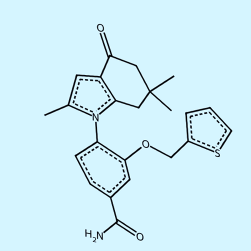 Cc1cc2c(n1-c1ccc(C(N)=O)cc1OCc1cccs1)CC(C)(C)CC2=O